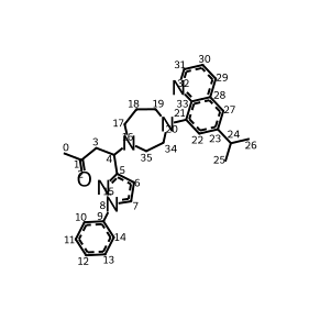 CC(=O)CC(c1ccn(-c2ccccc2)n1)N1CCCN(c2cc(C(C)C)cc3cccnc23)CC1